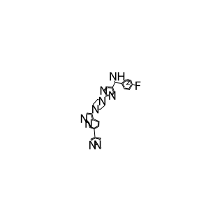 Cn1cc(-c2ccc3c(N4CCN(c5ncc(C(N)c6ccc(F)cc6)cn5)CC4)cnn3c2)cn1